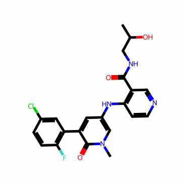 CC(O)CNC(=O)c1cnccc1Nc1cc(-c2cc(Cl)ccc2F)c(=O)n(C)c1